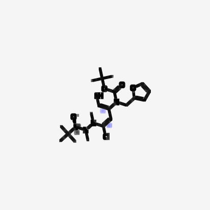 CN(/C(Cl)=C\C(=C\S)N(Cc1ccco1)C(=O)OC(C)(C)C)N(C)[S@+]([O-])C(C)(C)C